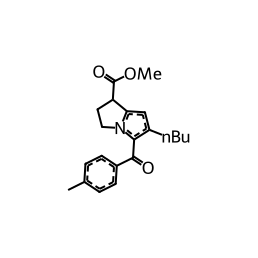 CCCCc1cc2n(c1C(=O)c1ccc(C)cc1)CCC2C(=O)OC